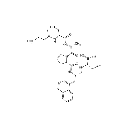 CC(C)C[C@H](NC[C@H](Cc1cccc2ccccc12)NC(=O)[C@@H]1CCCN1C(=O)[C@@H](C)NC(=O)[C@H](CO)NC(=O)CCC(=O)O)B(O)O